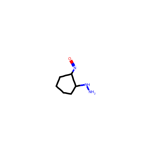 NNC1CCCCC1N=O